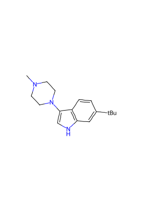 CN1CCN(c2c[nH]c3cc(C(C)(C)C)ccc23)CC1